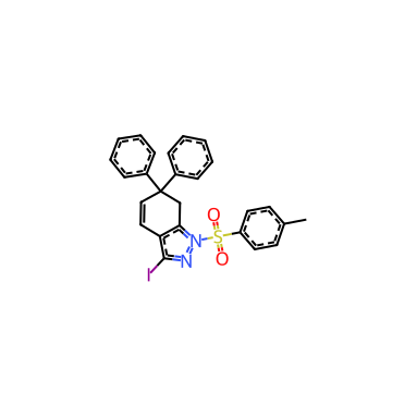 Cc1ccc(S(=O)(=O)n2nc(I)c3c2CC(c2ccccc2)(c2ccccc2)C=C3)cc1